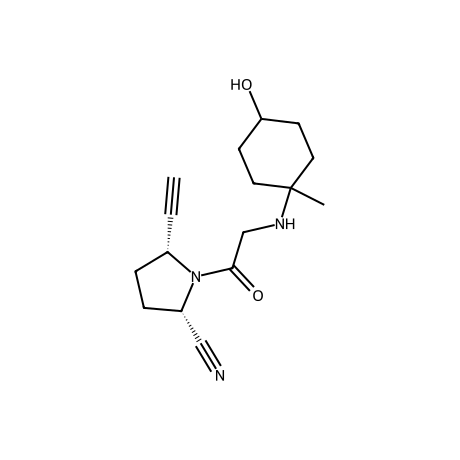 C#C[C@H]1CC[C@@H](C#N)N1C(=O)CNC1(C)CCC(O)CC1